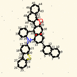 c1cc(-c2ccc3ccccc3c2)cc(N(c2ccc3c(c2)sc2ccccc23)c2ccccc2-c2cccc3oc4c5ccccc5ccc4c23)c1